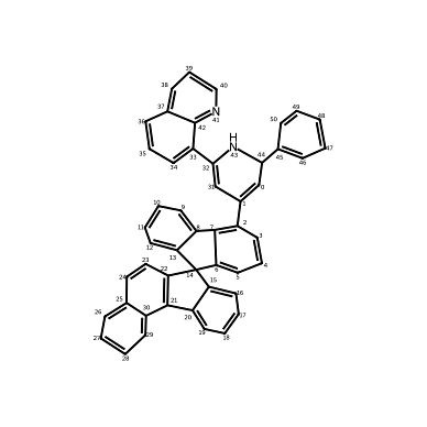 C1=C(c2cccc3c2-c2ccccc2C32c3ccccc3-c3c2ccc2ccccc32)C=C(c2cccc3cccnc23)NC1c1ccccc1